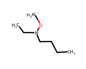 CCC[CH2][Al]([CH2]C)[O][AlH2]